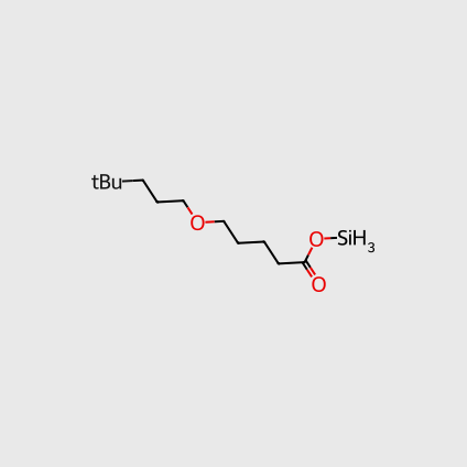 CC(C)(C)CCCOCCCCC(=O)O[SiH3]